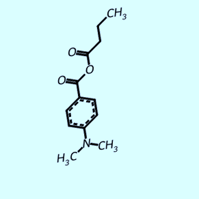 CCCC(=O)OC(=O)c1ccc(N(C)C)cc1